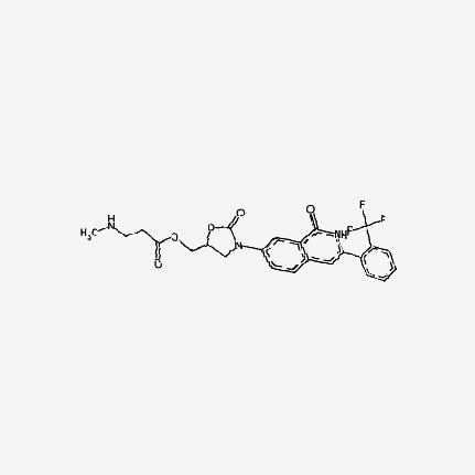 CNCCC(=O)OCC1CN(c2ccc3cc(-c4ccccc4C(F)(F)F)[nH]c(=O)c3c2)C(=O)O1